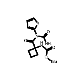 CC(C)(C)OC(=O)NC1(C(=O)N(C(N)=O)c2cccs2)CCC1